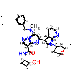 CN(Cc1ccccc1)c1cc(-c2cn(C3CCOCC3)c3ncccc23)nc2c(C(=O)N[C@H]3CC[C@H]3O)cnn12